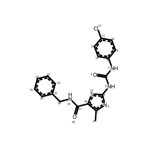 Cc1nc(NC(=O)Nc2ccc(Cl)cc2)sc1C(=O)NCc1ccccc1